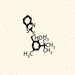 Cc1cc(CSc2nc3ccccc3s2)c(O)c(C(C)(C)C)c1